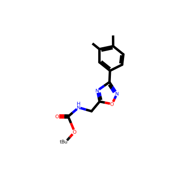 Cc1ccc(-c2noc(CNC(=O)OC(C)(C)C)n2)cc1C